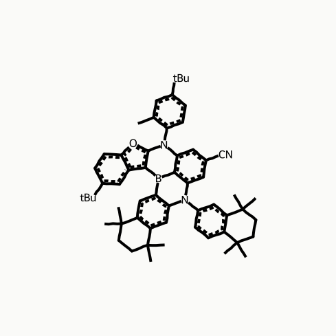 Cc1cc(C(C)(C)C)ccc1N1c2cc(C#N)cc3c2B(c2cc4c(cc2N3c2ccc3c(c2)C(C)(C)CCC3(C)C)C(C)(C)CCC4(C)C)c2c1oc1ccc(C(C)(C)C)cc21